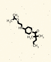 CCCC(C)(C)C(=O)N1CCC(NCCOC(C)C)CC1